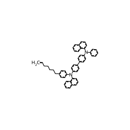 C=CCCCCCc1ccc(N(c2ccc(-c3ccc(N(c4ccccc4)c4cccc5ccccc45)cc3)cc2)c2cccc3ccccc23)cc1